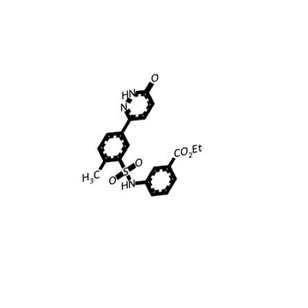 CCOC(=O)c1cccc(NS(=O)(=O)c2cc(-c3ccc(=O)[nH]n3)ccc2C)c1